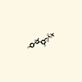 Cc1nn(-c2ccc(F)cc2)cc1-c1cc(F)cc(CNC(=O)OC(C)(C)C)c1